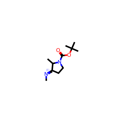 C/N=C1\CCN(C(=O)OC(C)(C)C)C1C